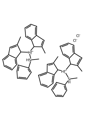 CC1=Cc2ccccc2[CH]1[Hf+]([CH]1C(C)=Cc2ccccc21)[SiH](C)c1ccccc1.CC1=Cc2ccccc2[CH]1[Hf+]([CH]1C(C)=Cc2ccccc21)[SiH](C)c1ccccc1.[Cl-].[Cl-]